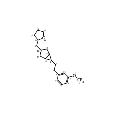 FC(F)(F)Oc1cccc([CH]CC2C3CN(CC4CCCO4)CC23)c1